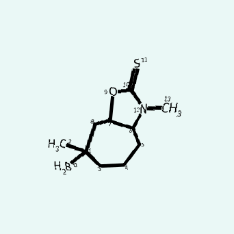 BC1(C)CCCC2C(C1)OC(=S)N2C